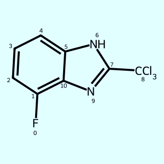 Fc1cccc2[nH]c(C(Cl)(Cl)Cl)nc12